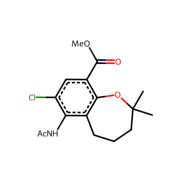 COC(=O)c1cc(Cl)c(NC(C)=O)c2c1OC(C)(C)CCC2